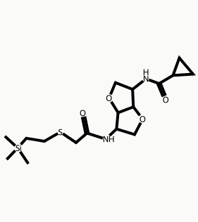 C[Si](C)(C)CCSCC(=O)NC1COC2C(NC(=O)C3CC3)COC12